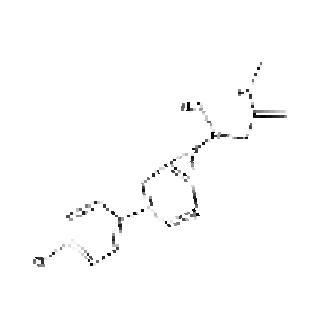 C=C(CN(N)N1c2cc(-c3ccc(Cl)cc3)cnc21)NC